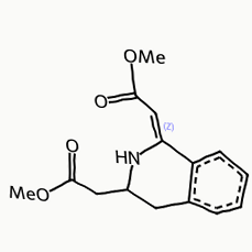 COC(=O)/C=C1\NC(CC(=O)OC)Cc2ccccc21